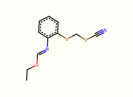 CCOC=Nc1ccccc1SCSC#N